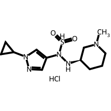 CN1CCC[C@@H](NN(c2cnn(C3CC3)c2)[SH](=O)=O)C1.Cl